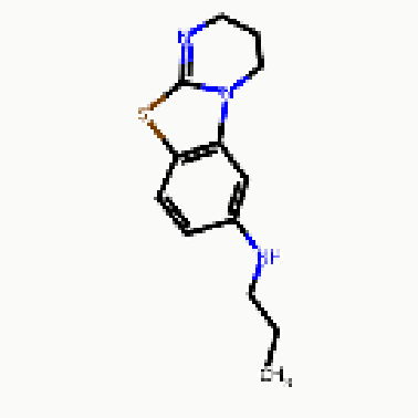 CCCNc1ccc2c(c1)N1CCCN=C1S2